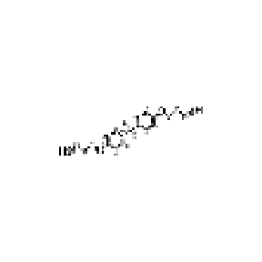 CC(C)(c1ccc(OCCCS)cc1)c1ccc(OCCCS)cc1